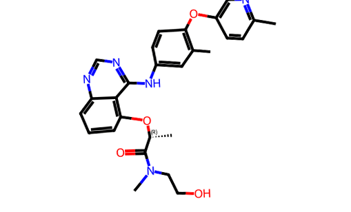 Cc1ccc(Oc2ccc(Nc3ncnc4cccc(O[C@H](C)C(=O)N(C)CCO)c34)cc2C)cn1